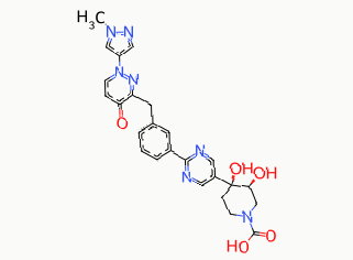 Cn1cc(-n2ccc(=O)c(Cc3cccc(-c4ncc([C@@]5(O)CCN(C(=O)O)C[C@@H]5O)cn4)c3)n2)cn1